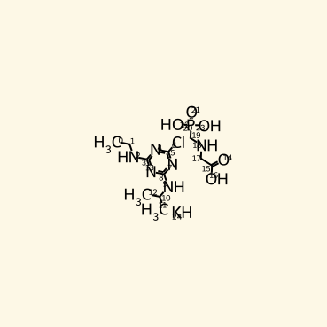 CCNc1nc(Cl)nc(NC(C)C)n1.O=C(O)CNCP(=O)(O)O.[KH]